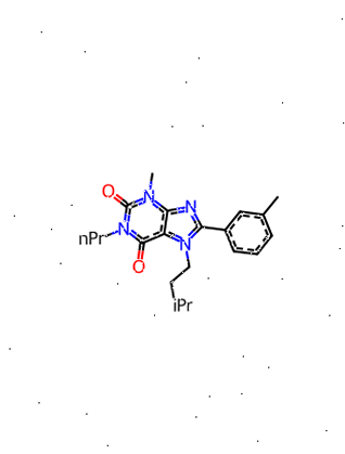 CCCn1c(=O)c2c(nc(-c3cccc(C)c3)n2CCC(C)C)n(C)c1=O